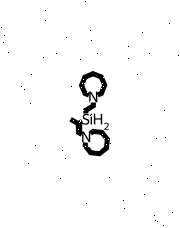 CC(=CN1CCCCCCC1)[SiH2]CCN1CCCCCCC1